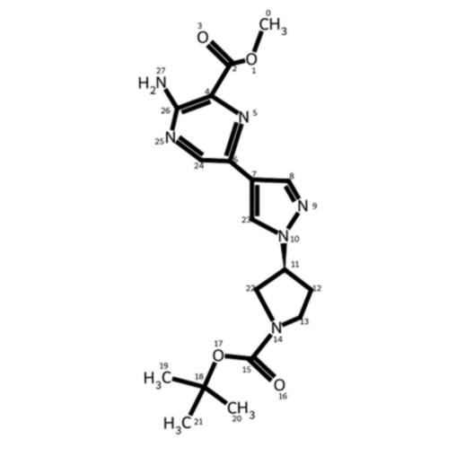 COC(=O)c1nc(-c2cnn([C@H]3CCN(C(=O)OC(C)(C)C)C3)c2)cnc1N